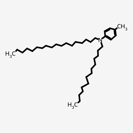 CCCCCCCCCCCCCCCCCCN(CCCCCCCCCCCCCC)c1ccc(C)cc1